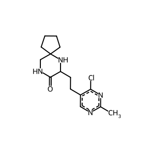 Cc1ncc(CCC2NC3(CCCC3)CNC2=O)c(Cl)n1